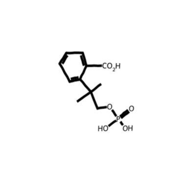 CC(C)(COP(=O)(O)O)c1ccccc1C(=O)O